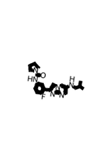 CC(C)CNc1cnc2nc(-c3cc(NC(=O)N4CCCC4)ccc3F)cn2c1